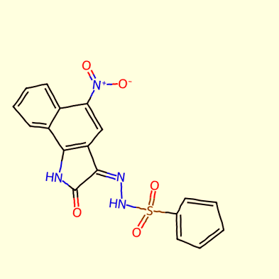 O=C1Nc2c(cc([N+](=O)[O-])c3ccccc23)C1=NNS(=O)(=O)c1ccccc1